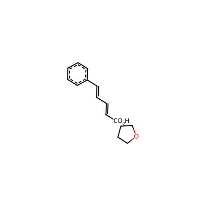 C1CCOC1.O=C(O)C=CC=Cc1ccccc1